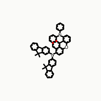 CC1(C)c2ccccc2-c2ccc(N(c3ccc4c(c3)C(C)(C)c3ccccc3-4)c3ccc4c5c(cccc35)-c3c(cccc3N(c3ccccc3)c3ccccc3)O4)cc21